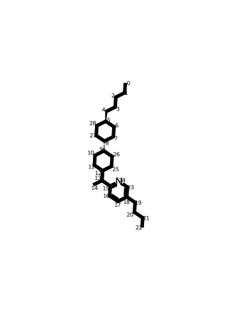 CCCCC[C@H]1CC[C@H](C2CCC(C(C)c3ccc(CCCC)cn3)CC2)CC1